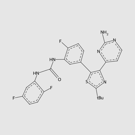 CC(C)(C)c1nc(-c2ccnc(N)n2)c(-c2ccc(F)c(NC(=O)Nc3cc(F)ccc3F)c2)s1